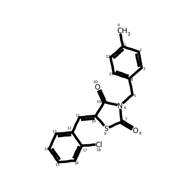 Cc1ccc(CN2C(=O)S/C(=C\c3ccccc3Cl)C2=O)cc1